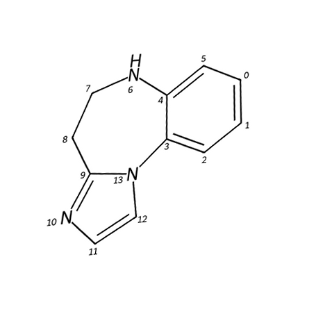 c1ccc2c(c1)NCCc1nccn1-2